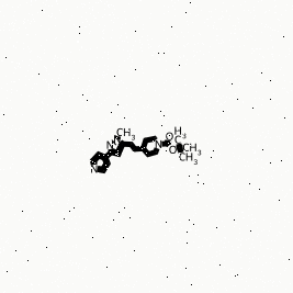 Cn1nc(-c2ccncc2)cc1CCC1CCN(C(=O)OC(C)(C)C)CC1